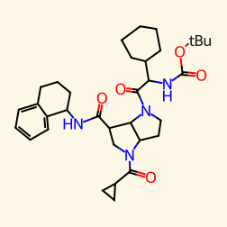 CC(C)(C)OC(=O)NC(C(=O)N1CCC2C1C(C(=O)NC1CCCc3ccccc31)CN2C(=O)C1CC1)C1CCCCC1